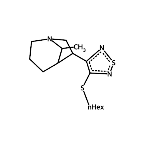 CCCCCCSc1nsnc1C1CN2CCCC1C2C